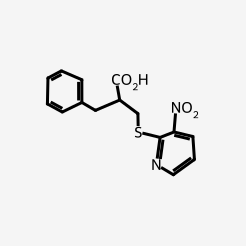 O=C(O)C(CSc1ncccc1[N+](=O)[O-])Cc1ccccc1